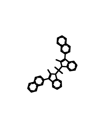 CC1=C(c2ccc3ccccc3c2)c2ccccc2C1C(C)(C)C1C(C)=C(c2ccc3ccccc3c2)c2ccccc21